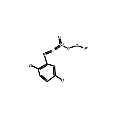 O=[SH](=[N+]=Nc1cc(Cl)ccc1Cl)OOO